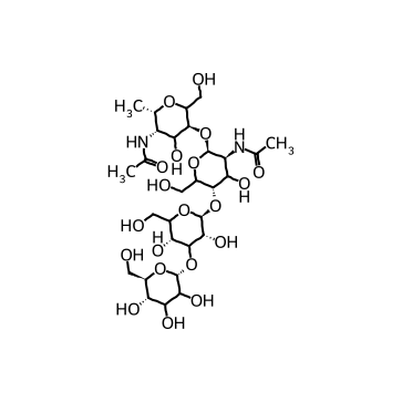 CC(=O)N[C@H]1C(O)[C@H](O[C@@H]2OC(CO)[C@@H](O)C(O[C@H]3O[C@H](CO)[C@@H](O)C(O)C3O)[C@H]2O)C(CO)O[C@H]1O[C@@H]1C(CO)O[C@@H](C)[C@@H](NC(C)=O)C1O